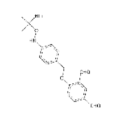 CC(C)(C)C(C)(C)ONc1ccc(COc2ccc(C=O)cc2C=O)cc1